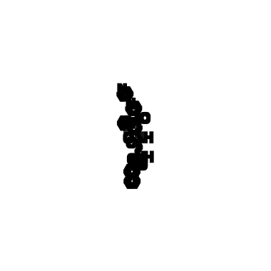 O=C(CCNS(=O)(=O)c1ccc2ccccc2c1)NC(CNC(=O)C1CCN(c2ccncc2)CC1)C(=O)N1CCCCC1